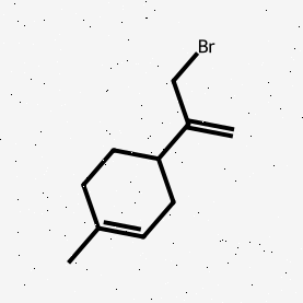 C=C(CBr)C1CC=C(C)CC1